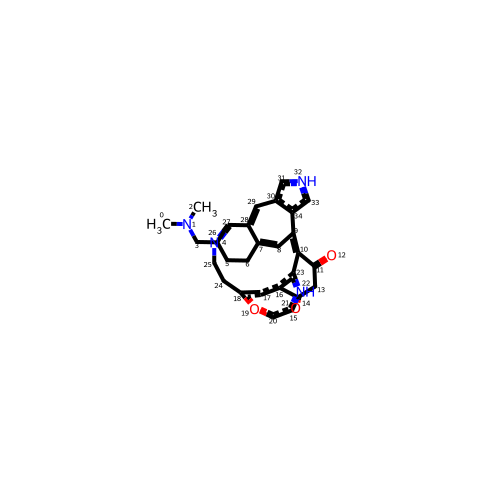 CN(C)CC1CCC2=C/C3=C4/C(=O)CC(=O)c5cc(occ[nH]c54)CC/N=C/1C2=Cc1c[nH]cc13